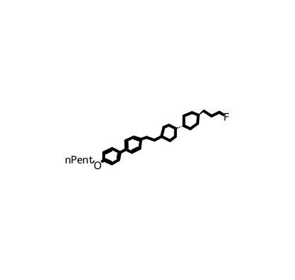 CCCCCOc1ccc(-c2ccc(CCC3CCC([C@H]4CC[C@H](CCCF)CC4)CC3)cc2)cc1